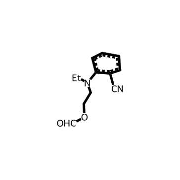 CCN(CCOC=O)c1ccccc1C#N